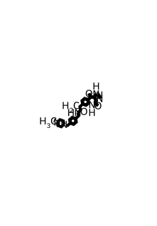 C=C(C(=O)NCc1ccc(CN2CCN(C)CC2)cc1)c1ccc2c(=O)c3[nH]nnc3c(=O)[nH]c2c1